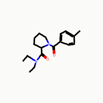 CCN(CC)C(=O)C1CCCCN1C(=O)c1ccc(C)cc1